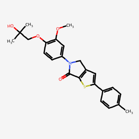 COc1cc(N2Cc3cc(-c4ccc(C)cc4)sc3C2=O)ccc1OCC(C)(C)O